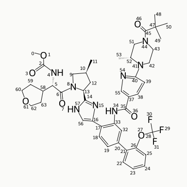 COC(=O)N[C@H](C(=O)N1C[C@@H](C)C[C@H]1c1nc(-c2ccc(-c3ccccc3OC(F)(F)F)cc2NC(=O)c2ccc(N3CCN(C(=O)C(C)(C)C)C[C@H]3C)nc2)c[nH]1)C1CCOCC1